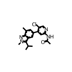 CC(=O)Nc1cc(-c2cc(C)c3nn(C)c(C(C)C)c3c2)c(Cl)cn1